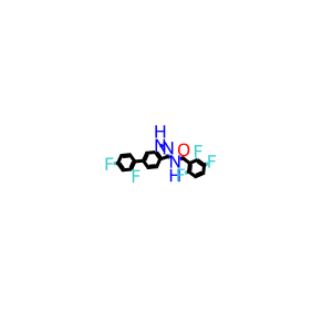 O=C(Nc1n[nH]c2cc(-c3ccc(F)cc3F)ccc12)c1c(F)ccc(F)c1F